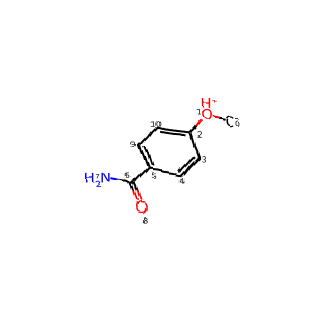 [CH2-][OH+]c1ccc(C(N)=O)cc1